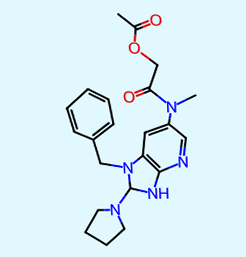 CC(=O)OCC(=O)N(C)c1cnc2c(c1)N(Cc1ccccc1)C(N1CCCC1)N2